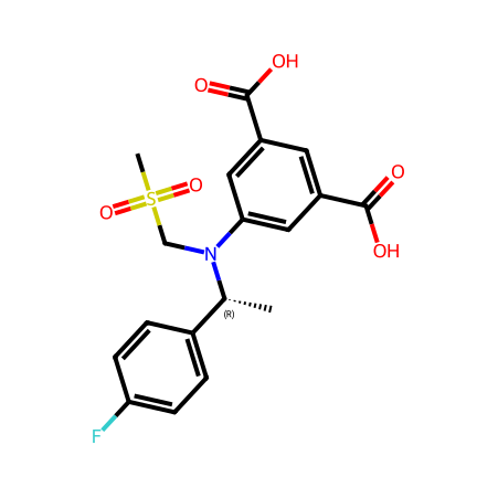 C[C@H](c1ccc(F)cc1)N(CS(C)(=O)=O)c1cc(C(=O)O)cc(C(=O)O)c1